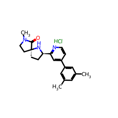 Cc1cc(C)cc(-c2ccnc([C@H]3CC[C@@]4(CCN(C)C4=O)N3)c2)c1.Cl